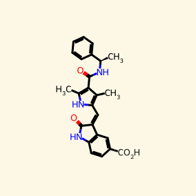 Cc1[nH]c(/C=C2\C(=O)Nc3ccc(C(=O)O)cc32)c(C)c1C(=O)N[C@H](C)c1ccccc1